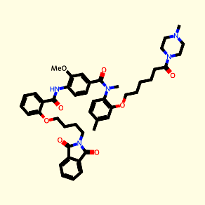 COc1cc(C(=O)N(C)c2ccc(C)cc2OCCCCCC(=O)N2CCN(C)CC2)ccc1NC(=O)c1ccccc1OCCCCN1C(=O)c2ccccc2C1=O